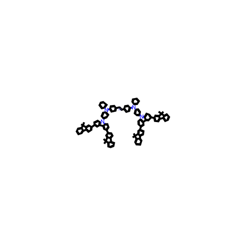 CC1(C)c2ccccc2-c2ccc(-c3ccc4c(c3)c3cc(-c5ccc6c(c5)C(C)(C)c5ccccc5-6)ccc3n4-c3ccc(N(c4ccccc4)c4ccc(/C=C/c5ccc(N(c6ccccc6)c6ccc(-n7c8ccc(-c9ccc%10c(c9)C(C)(C)c9ccccc9-%10)cc8c8cc(-c9ccc%10c(c9)C(C)(C)c9ccccc9-%10)ccc87)cc6)cc5)cc4)cc3)cc21